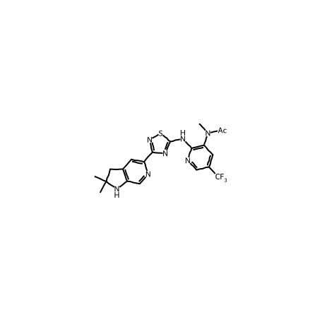 CC(=O)N(C)c1cc(C(F)(F)F)cnc1Nc1nc(-c2cc3c(cn2)NC(C)(C)C3)ns1